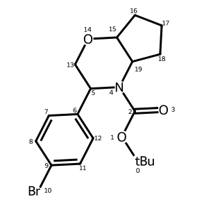 CC(C)(C)OC(=O)N1C(c2ccc(Br)cc2)COC2CCCC21